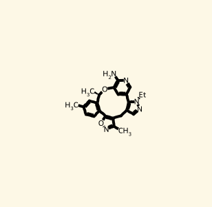 CCn1ncc2c1-c1cnc(N)c(c1)O[C@H](C)c1cc(C)ccc1-c1onc(C)c1C2